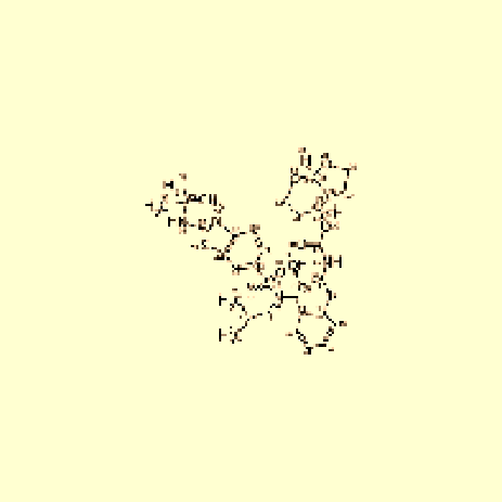 CC(C)CN(C[C@@H](O)[C@H](Cc1ccccc1)NC(=O)O[C@H]1CCO[C@H]2OCC[C@H]21)S(=O)(=O)c1ccc2nc(NC(C)(C)C)sc2c1